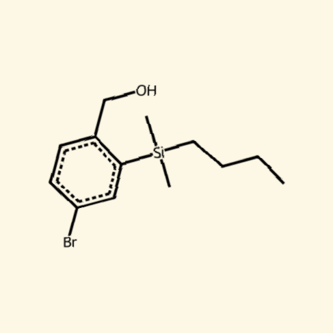 CCCC[Si](C)(C)c1cc(Br)ccc1CO